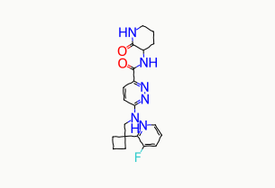 O=C(NC1CCCNC1=O)c1ccc(NCC2(c3ncccc3F)CCC2)nn1